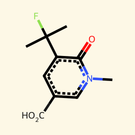 Cn1cc(C(=O)O)cc(C(C)(C)F)c1=O